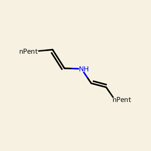 CCCCCC=CNC=CCCCCC